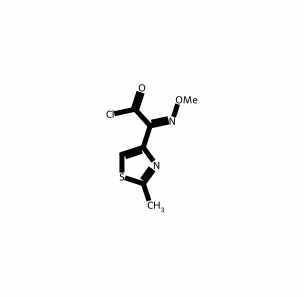 CO/N=C(\C(=O)Cl)c1csc(C)n1